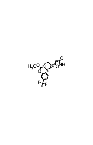 COC(=O)N1CC[C@@H](c2cc(=O)[nH]o2)C[C@H]1c1ccc(C(F)(F)F)cc1